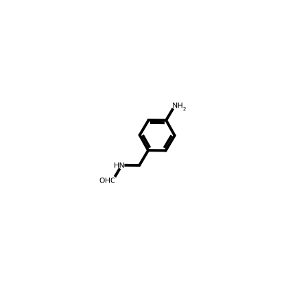 Nc1ccc(CNC=O)cc1